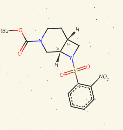 CC(C)(C)OC(=O)N1CC[C@@H]2CN(S(=O)(=O)c3ccccc3[N+](=O)[O-])[C@@H]2C1